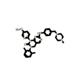 COc1ccc(N2C(=O)N(c3c(C)c#ccc3C)Cc3cnc(Nc4ccc(CN5CCN(C)CC5)cc4)nc32)nc1